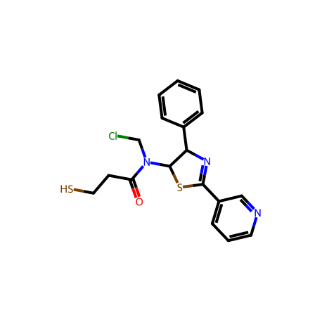 O=C(CCS)N(CCl)C1SC(c2cccnc2)=NC1c1ccccc1